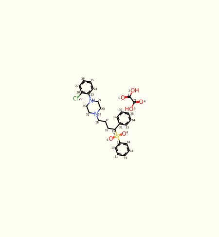 O=C(O)C(=O)O.O=S(=O)(c1ccccc1)C(CCCN1CCN(c2ccccc2Cl)CC1)c1ccccc1